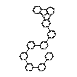 c1ccc(-c2cccc(-c3cccc(-c4cccc(-c5cccc(-c6cccc(-c7cccc(-c8ccc9c(c8)c8cccc%10c%11ccccc%11n9c%108)c7)c6)c5)c4)c3)c2)cc1